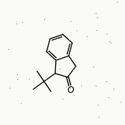 CC(C)(C)C1C(=O)Cc2ccccc21